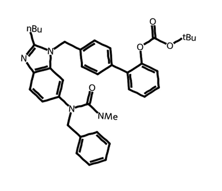 CCCCc1nc2ccc(N(Cc3ccccc3)C(=O)NC)cc2n1Cc1ccc(-c2ccccc2OC(=O)OC(C)(C)C)cc1